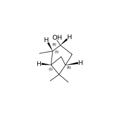 C[C@@H]1[C@H](O)C[C@H]2C[C@@H]1C2(C)C